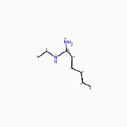 CCCCCC(N)NCC